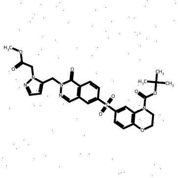 COC(=O)Cn1nccc1Cn1ncc2cc(S(=O)(=O)c3ccc4c(c3)N(C(=O)OC(C)(C)C)CCO4)ccc2c1=O